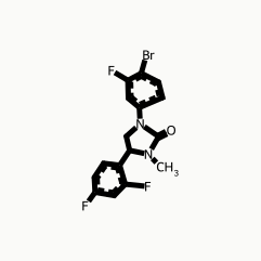 CN1C(=O)N(c2ccc(Br)c(F)c2)CC1c1ccc(F)cc1F